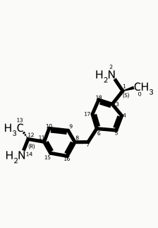 C[C@H](N)c1ccc(Cc2ccc([C@@H](C)N)cc2)cc1